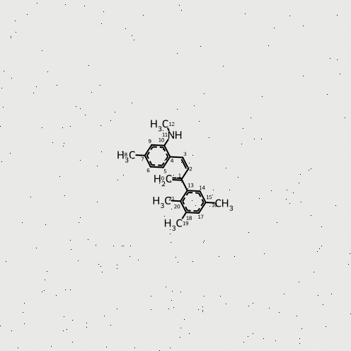 C=C(/C=C\c1ccc(C)cc1NC)c1cc(C)cc(C)c1C